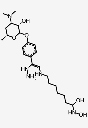 C[C@H]1C[C@@H](N(C)C)[C@H](O)C(Oc2ccc(/C(=C/NCCCCCCC(O)NO)NN)cc2)O1